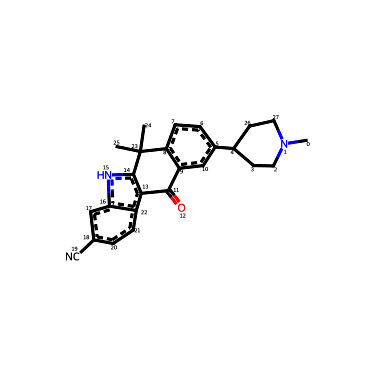 CN1CCC(c2ccc3c(c2)C(=O)c2c([nH]c4cc(C#N)ccc24)C3(C)C)CC1